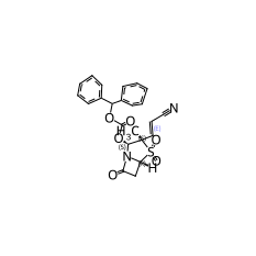 C[C@]1(/C=C/C#N)[C@H](OC(=O)OC(c2ccccc2)c2ccccc2)N2C(=O)C[C@H]2S1(=O)=O